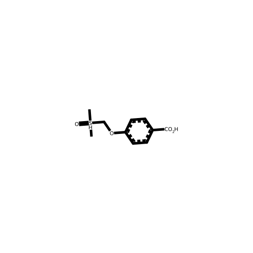 C[SH](C)(=O)COc1ccc(C(=O)O)cc1